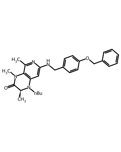 CCCCN1c2cc(NCc3ccc(OCc4ccccc4)cc3)nc(C)c2N(C)C(=O)[C@@H]1C